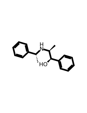 C[C@H](N[C@H](C)c1ccccc1)[C@H](O)c1ccccc1